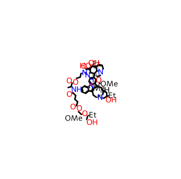 CCC(CO)OC(COC(=O)CCCC(=O)NC(C)C(=O)OCCCN1C(=O)[C@]2(O)C3N1c1cc(OC)c([C@@]4(C(=O)OC)C[C@H]5C[N@](CCc6c4[nH]c4ccccc64)CC(O)(CC)C5)cc1[C@@]31CCN3CC=C[C@](CC)(C31)[C@H]2O)OC